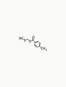 Cc1ccc(C(=O)SCSC#N)cc1